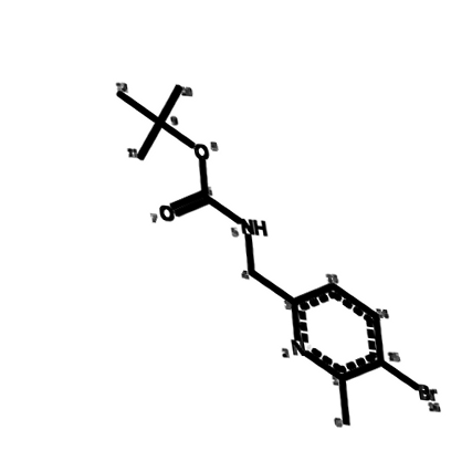 Cc1nc(CNC(=O)OC(C)(C)C)ccc1Br